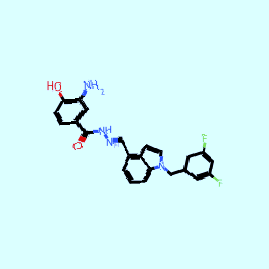 Nc1cc(C(=O)N/N=C/c2cccc3c2ccn3CC2C=C(F)C=C(F)C2)ccc1O